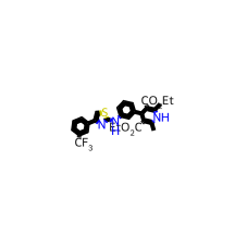 CCOC(=O)C1=C(C)NC(C)=C(C(=O)OCC)C1c1cccc(Nc2nc(-c3cccc(C(F)(F)F)c3)cs2)c1